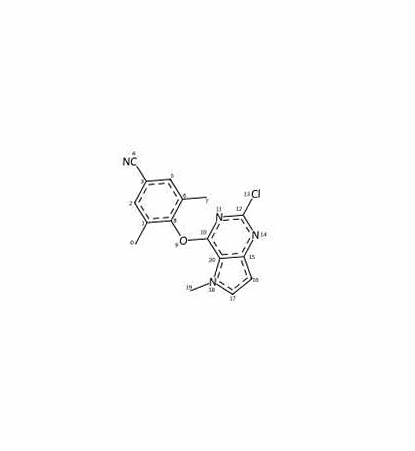 Cc1cc(C#N)cc(C)c1Oc1nc(Cl)nc2ccn(C)c12